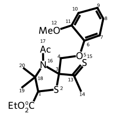 CCOC(=O)C1SC(COc2ccccc2OC)(C(C)=S)N(C(C)=O)C1(C)C